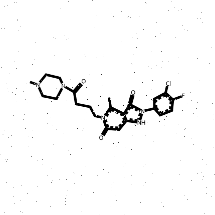 Cc1c2c(=O)n(-c3ccc(F)c(Cl)c3)[nH]c2cc(=O)n1CCCC(=O)N1CCN(C)CC1